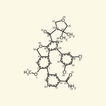 COc1cc2c(cc1-c1cncc(C(N)=O)c1)-c1c(c(C(=O)N3COCC3(C)C)nn1-c1cc(Cl)cc(Cl)c1)OC2